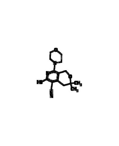 CC1(C)Cc2c(C#N)c(S)nc(N3CCOCC3)c2CO1